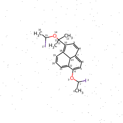 CC(I)OC1=CC=C2C=CC(C(C)(C)OC(C)I)=C3C=CC=C1C23